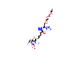 CCOCCOCCOCC(N)NC(=O)CCCC[C@@H]1SC[C@@H]2NC(=O)N[C@@H]21